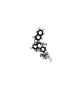 NS(=O)(=O)c1ccc2c(c1)[C@@H]1C=CC[C@@H]1[C@H](c1ccc3ccccc3c1)N2